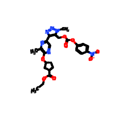 CCOC(=O)C1CCC(Oc2ncc(-c3nnn(C)c3COC(=O)Oc3ccc([N+](=O)[O-])cc3)nc2C)C1